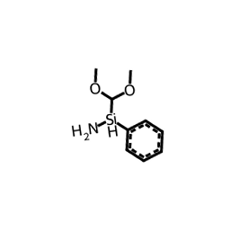 COC(OC)[SiH](N)c1ccccc1